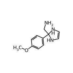 COc1ccc(C2(CN)NC=CN2)cc1